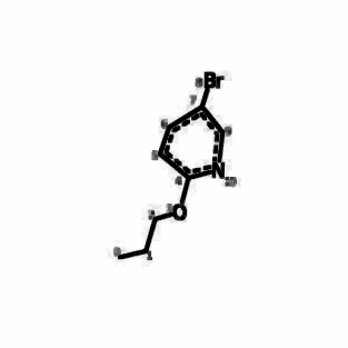 CCCOc1ccc(Br)cn1